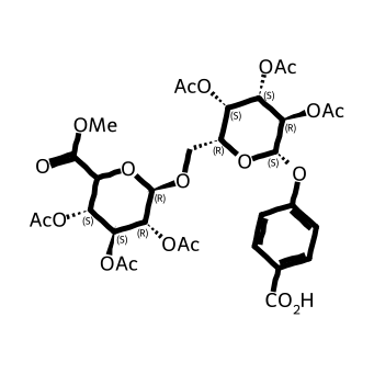 COC(=O)C1O[C@@H](OC[C@H]2O[C@@H](Oc3ccc(C(=O)O)cc3)[C@H](OC(C)=O)[C@@H](OC(C)=O)[C@H]2OC(C)=O)[C@H](OC(C)=O)[C@@H](OC(C)=O)[C@@H]1OC(C)=O